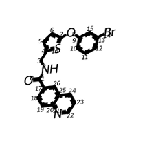 O=C(NCc1ccc(Oc2cccc(Br)c2)s1)c1ccc2ncccc2c1